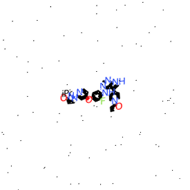 C=CC(=O)N1CCC(c2c[nH]c3ncnc(Nc4ccc(Oc5ccnc(-n6ccc(OC(C)C)n6)c5)cc4F)c23)CC1